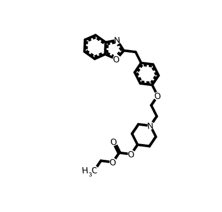 CCOC(=O)OC1CCN(CCOc2ccc(Cc3nc4ccccc4o3)cc2)CC1